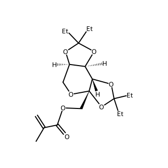 C=C(C)C(=O)OC[C@@]12OC[C@H]3OC(CC)(CC)O[C@H]3[C@@H]1OC(CC)(CC)O2